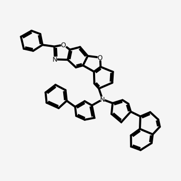 c1ccc(-c2cccc(N(c3ccc(-c4cccc5ccccc45)cc3)c3ccc4oc5cc6oc(-c7ccccc7)nc6cc5c4c3)c2)cc1